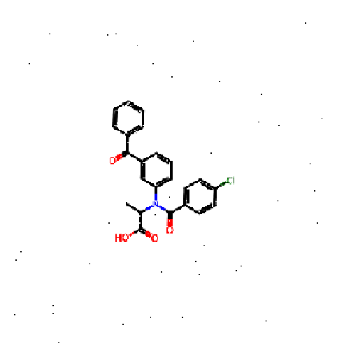 CC(C(=O)O)N(C(=O)c1ccc(Cl)cc1)c1cccc(C(=O)c2ccccc2)c1